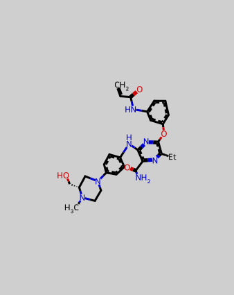 C=CC(=O)Nc1cccc(Oc2nc(Nc3ccc(N4CCN(C)[C@H](CO)C4)cc3)c(C(N)=O)nc2CC)c1